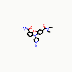 CCN(CC)C(=O)c1ccc2c(c1)Oc1c(C(N)=O)cccc1N2C1CCNCC1